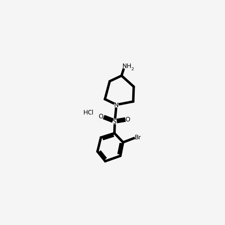 Cl.NC1CCN(S(=O)(=O)c2ccccc2Br)CC1